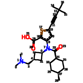 CN(C)C[C@H]1C[C@@H](N(c2cc(C#CC(C)(C)C)sc2C(=O)O)C(=O)[C@H]2CC[C@@H](C)CC2)C1